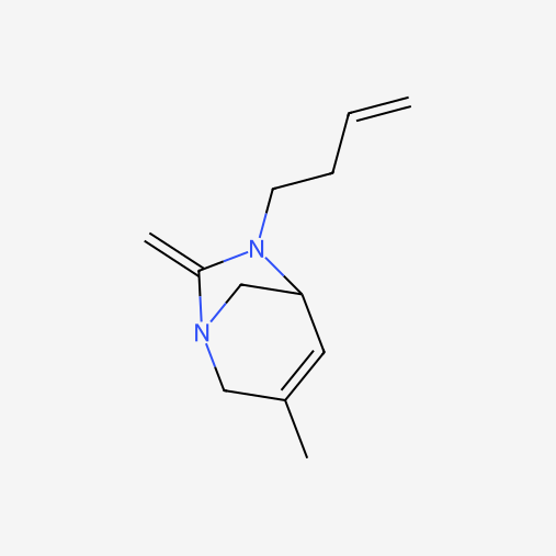 C=CCCN1C(=C)N2CC(C)=CC1C2